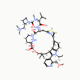 CCn1c(-c2cccnc2[C@H](C)OC)c2c3cc(ccc31)-c1csc(n1)C[C@H](NC(=O)[C@H](C(C)C)N(C)C(=O)N1CC[C@@H]1CN(C)C)C(=O)N1CCC[C@@](O)(N1)C(=O)OCC(C)(C)C2